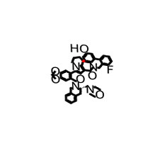 O=C(c1cc(-c2cc3c(cc2C(=O)N2Cc4ccccc4C[C@H]2CN2CCOCC2)OCO3)n2c1CCCC2)N1Cc2c(F)cccc2-c2cc(O)ccc21